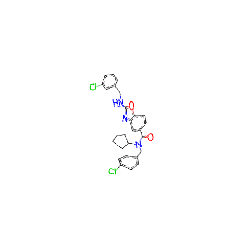 O=C(c1ccc2oc(NCc3cccc(Cl)c3)nc2c1)N(Cc1ccc(Cl)cc1)C1CCCC1